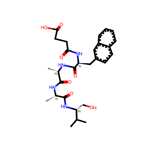 CC(C)[C@@H](CO)NC(=O)[C@H](C)NC(=O)[C@H](C)NC(=O)[C@H](Cc1ccc2ccccc2c1)NC(=O)CCC(=O)O